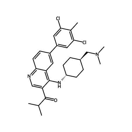 Cc1c(Cl)cc(-c2ccc3ncc(C(=O)C(C)C)c(N[C@H]4CC[C@H](CN(C)C)CC4)c3c2)cc1Cl